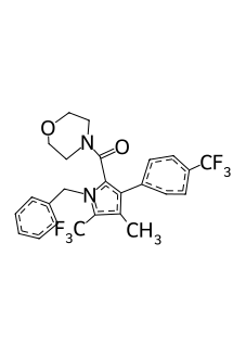 Cc1c(-c2ccc(C(F)(F)F)cc2)c(C(=O)N2CCOCC2)n(Cc2ccccc2)c1C(F)(F)F